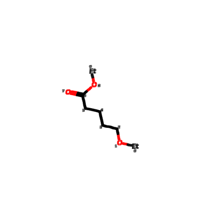 CCOCCCCC(=O)OCC